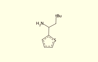 CC(C)(C)CC(N)c1cccs1